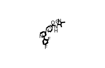 CC1=NOC(NC(=O)N2CCN(c3ccnc(-c4ccc(F)cc4F)c3)CC2)C1C